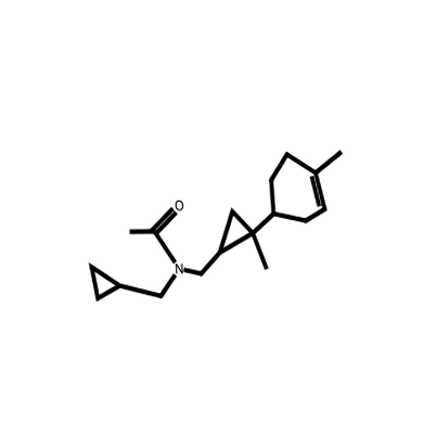 CC(=O)N(CC1CC1)CC1CC1(C)C1CC=C(C)CC1